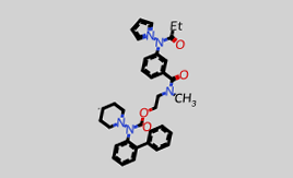 CCC(=O)N(c1cccc(C(=O)N(C)CCOC(=O)N(c2ccccc2-c2ccccc2)N2CC[CH]CC2)c1)n1cccc1